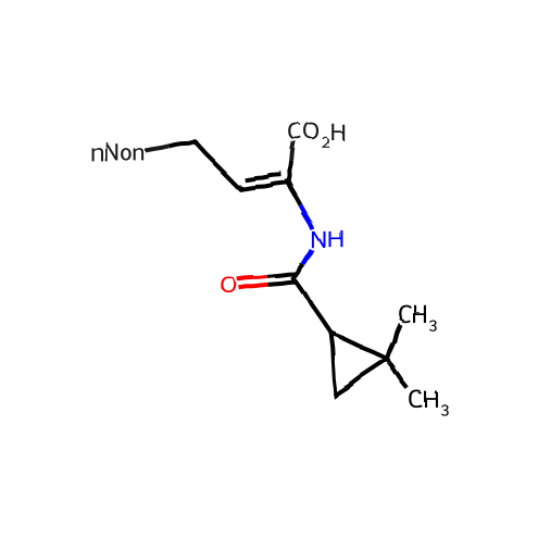 CCCCCCCCCCC=C(NC(=O)C1CC1(C)C)C(=O)O